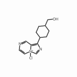 OCC1CCC(C2=C3C=NC=C[N+]3(Cl)C=N2)CC1